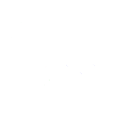 CCN(CC(O)COc1ccc(Cl)c(C)c1)c1nc(-c2ccccc2)nc2ccccc12.Cl.Cl